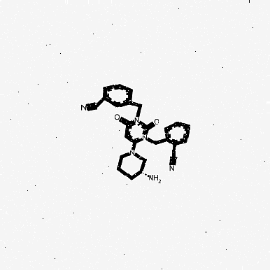 N#Cc1cccc(Cn2c(=O)cc(N3CCC[C@@H](N)C3)n(Cc3ccccc3C#N)c2=O)c1